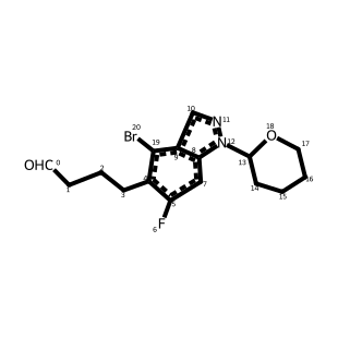 O=CCCCc1c(F)cc2c(cnn2C2CCCCO2)c1Br